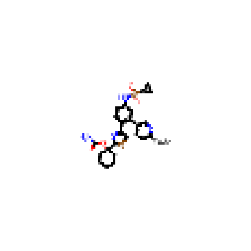 COc1ccc(-c2cc(NS(=O)(=O)C3CC3)ccc2-c2csc(C3(OC(N)=O)CCCCC3)n2)cn1